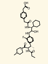 CCC(=O)N[C@@H](C(=O)N1CCN(C)CC1)[C@@H](C)c1ccc(NC(O)[C@@H](NC(=O)Cc2ccc(CC(=O)O)cc2)C2CCCCC2)c(F)c1